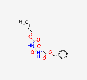 CCCCOC(=O)NS(=O)(=O)NCC(=O)OCc1ccccc1